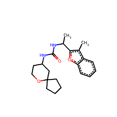 Cc1c(C(C)NC(=O)NC2CCOC3(CCCC3)C2)oc2ccccc12